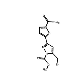 COC(=O)c1ccc(-c2cc(CBr)n(C(=O)OC(C)(C)C)n2)o1